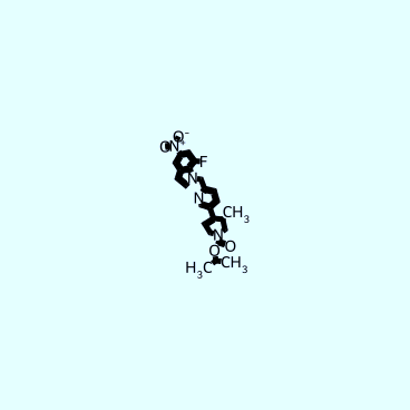 CC(C)OC(=O)N1CC=C(c2ccc(Cn3ccc4cc([N+](=O)[O-])cc(F)c43)nc2)C(C)C1